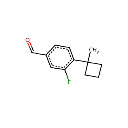 CC1(c2ccc(C=O)cc2F)CCC1